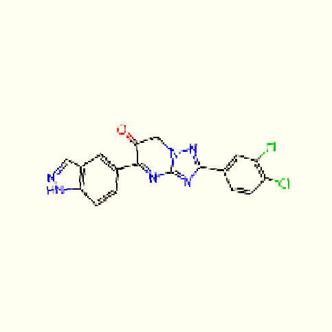 O=C1Cn2nc(-c3ccc(Cl)c(Cl)c3)nc2N=C1c1ccc2[nH]ncc2c1